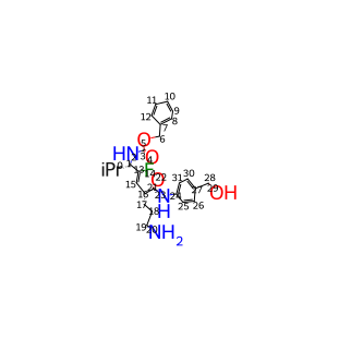 CC(C)[C@H](NC(=O)OCc1ccccc1)/C(F)=C/[C@@H](CCCN)C(=O)Nc1ccc(CO)cc1